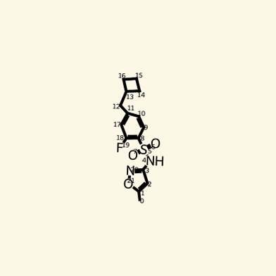 Cc1cc(NS(=O)(=O)c2ccc(CC3CCC3)cc2F)no1